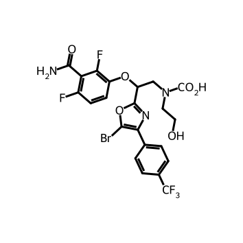 NC(=O)c1c(F)ccc(OC(CN(CCO)C(=O)O)c2nc(-c3ccc(C(F)(F)F)cc3)c(Br)o2)c1F